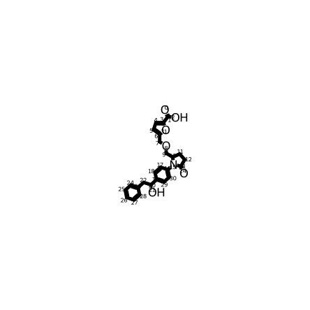 O=C(O)c1ccc(COCC2CCC(=O)N2c2ccc([C@@H](O)Cc3ccccc3)cc2)o1